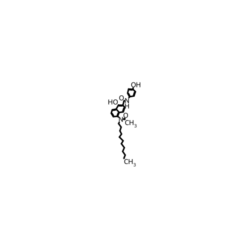 CCCCCCCCCCCCN(C(C)=O)c1cccc2c(O)c(C(=O)Nc3ccc(O)cc3)ccc12